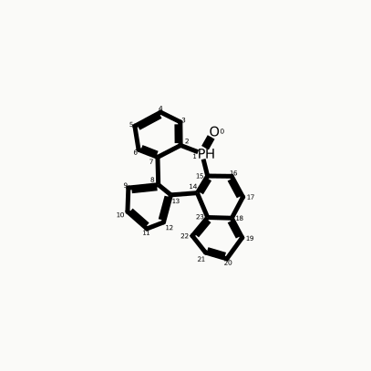 O=[PH]1c2ccccc2-c2ccccc2-c2c1ccc1ccccc21